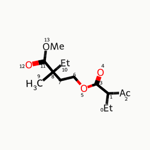 CCC(C(C)=O)C(=O)OCCC(C)(CC)C(=O)OC